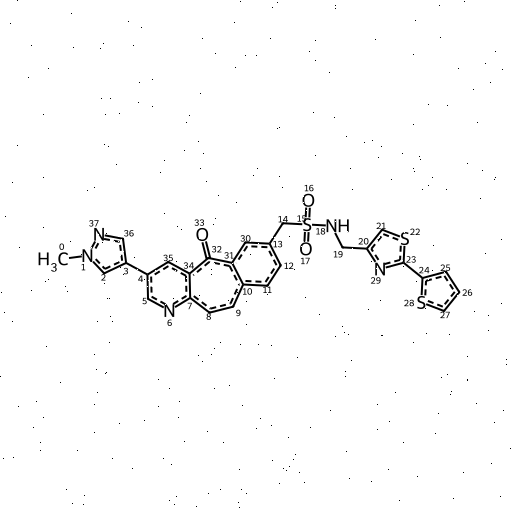 Cn1cc(-c2cnc3ccc4ccc(CS(=O)(=O)NCc5csc(-c6cccs6)n5)cc4c(=O)c3c2)cn1